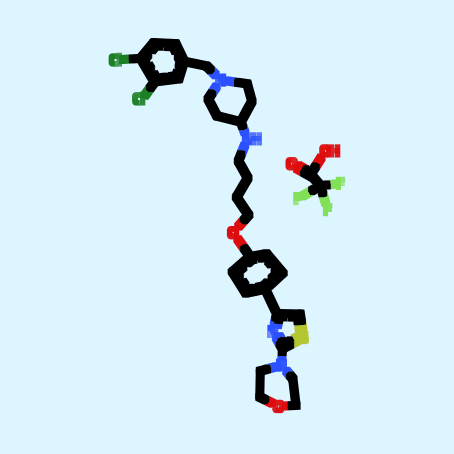 Clc1ccc(CN2CCC(NCCCCOc3ccc(-c4csc(N5CCOCC5)n4)cc3)CC2)cc1Cl.O=C(O)C(F)(F)F